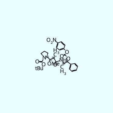 CO[C@H]([C@@H](C)C(=O)N[C@H](C)[C@@H](OC(=O)Oc1ccc([N+](=O)[O-])cc1)c1ccccc1)[C@@H]1CCCN1C(=O)OC(C)(C)C